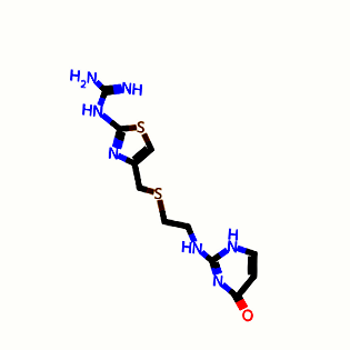 N=C(N)Nc1nc(CSCCNc2nc(=O)cc[nH]2)cs1